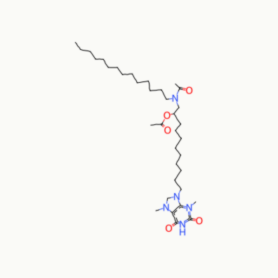 CCCCCCCCCCCCCCN(CC(CCCCCCCCCN1CN(C)c2c1n(C)c(=O)[nH]c2=O)OC(C)=O)C(C)=O